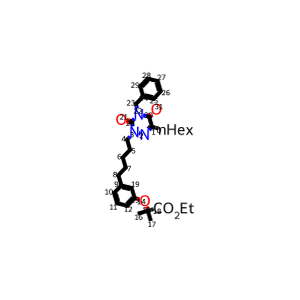 CCCCCCc1nn(CCCCCc2cccc(OC(C)(C)C(=O)OCC)c2)c(=O)n(Cc2ccccc2)c1=O